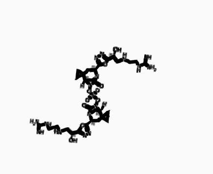 N=C(N)NCCNC[C@@H](O)c1nnc([C@@H]2CC3(CC3)[C@@H]3CN2C(=O)N3OS(=O)(=O)ON2C(=O)N3C[C@H]2C2(CC2)C[C@H]3c2nnc([C@H](O)CNCCNC(=N)N)o2)o1